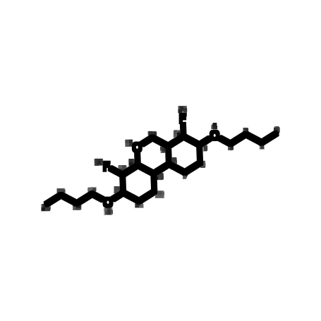 CCCCOC1CCC2C(COC3C(F)C(OCCCC)CCC23)C1F